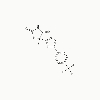 CC1(c2ccc(-c3ccc(C(F)(F)F)cc3)s2)SC(=O)NC1=O